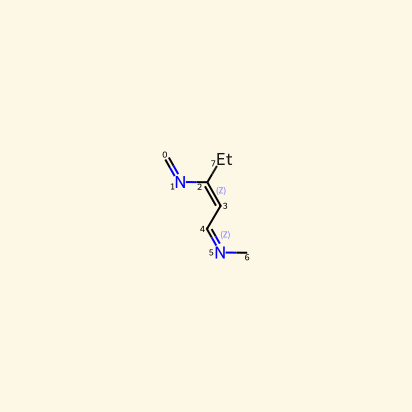 C=N/C(=C\C=N/C)CC